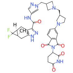 C[C@@]12Cc3[nH]nc(C(=O)Nc4cnn(CC5CN(C[C@H]6CCN(c7ccc8c(c7)C(=O)N(C7CCC(=O)NC7=O)C8=O)C6)C5)c4)c3C[C@@H]1C2(F)F